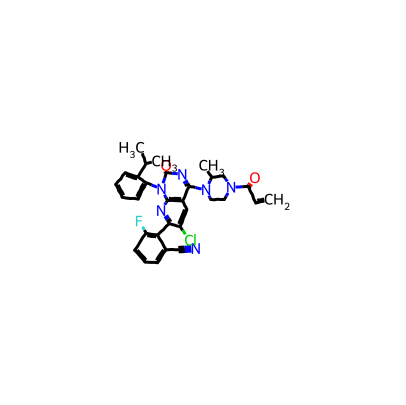 C=CC(=O)N1CCN(c2nc(=O)n(-c3ccccc3C(C)C)c3nc(-c4c(F)cccc4C#N)c(Cl)cc23)C(C)C1